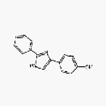 Oc1ccc(-c2c[nH]c(-c3ccccc3)n2)cc1